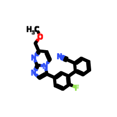 COCc1ccn2c(-c3ccc(F)c(-c4ccccc4C#N)c3)cnc2n1